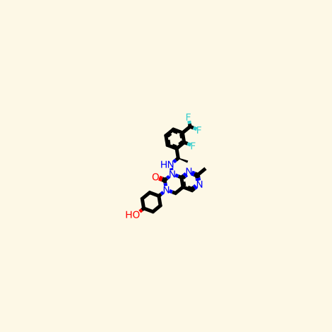 Cc1ncc2c(n1)N(N[C@H](C)c1cccc(C(F)F)c1F)C(=O)N(C1CCC(O)CC1)C2